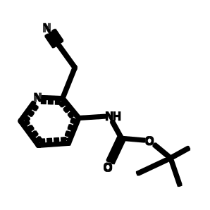 CC(C)(C)OC(=O)Nc1cccnc1CC#N